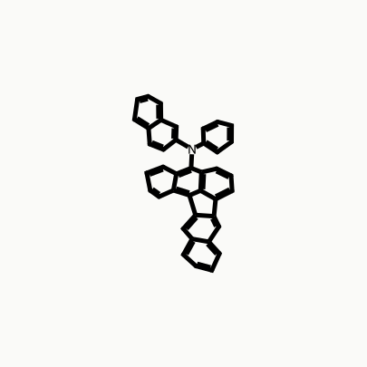 c1ccc(N(c2ccc3ccccc3c2)c2c3ccccc3c3c4c(cccc24)-c2cc4ccccc4cc2-3)cc1